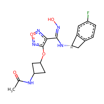 CC(=O)NC1CC(Oc2nonc2C(=NO)N[C@H]2Cc3ccc(F)cc32)C1